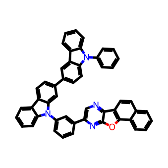 c1ccc(-n2c3ccccc3c3cc(-c4ccc5c6ccccc6n(-c6cccc(-c7cnc8c(n7)oc7c9ccccc9ccc87)c6)c5c4)ccc32)cc1